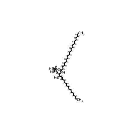 CCCCCCCCCCCCC/C=C/[C@@H](O)[C@H](COP(=O)(O)O)NC(=O)CCCCCCCCCCCCCCCCCCCCC